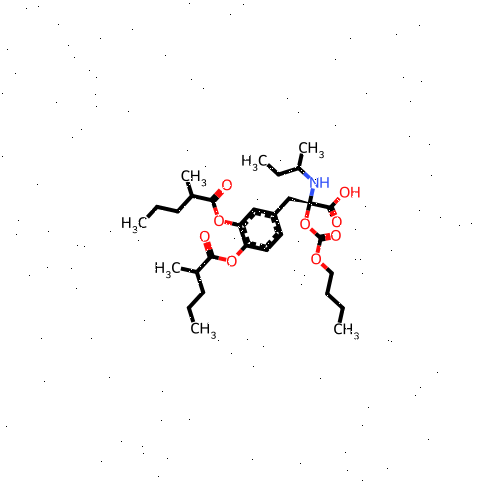 CCCCOC(=O)O[C@](Cc1ccc(OC(=O)C(C)CCC)c(OC(=O)C(C)CCC)c1)(NC(C)CC)C(=O)O